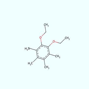 CCOc1c(C)c(C)c(C)c([SiH3])c1OCC